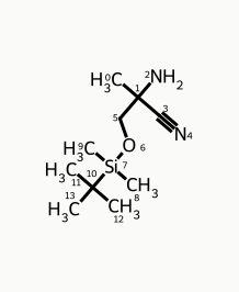 CC(N)(C#N)CO[Si](C)(C)C(C)(C)C